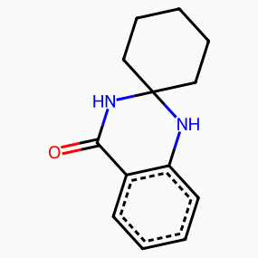 O=C1NC2(CCCCC2)Nc2ccccc21